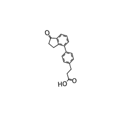 O=C(O)CCc1ccc(-c2cccc3c2CCC3=O)cc1